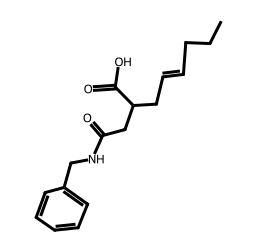 CCC/C=C/CC(CC(=O)NCc1ccccc1)C(=O)O